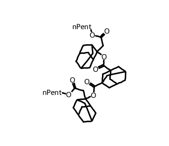 CCCCCOC(=O)CC1(OC(=O)C23CC4CC(C2)CC(C(=O)OC2(CC(=O)OCCCCC)C5CC6CC(C5)CC2C6)(C4)C3)C2CC3CC(C2)CC1C3